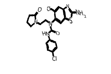 Nc1nc2cc(Cl)c(N(CCN3CCCC3=O)C(=O)Nc3ccc(Cl)cc3)cc2s1